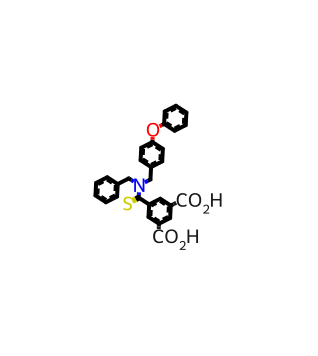 O=C(O)c1cc(C(=O)O)cc(C(=S)N(Cc2ccccc2)Cc2ccc(Oc3ccccc3)cc2)c1